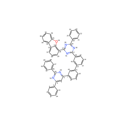 c1ccc(-c2cc(-c3cccc(-c4cccc(-c5nc(-c6ccccc6)nc(-c6cccc7c6oc6ccccc67)n5)c4)c3)nc(-c3ccccc3)n2)cc1